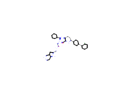 O=C(Cn1c(-c2ccccc2)nc2c(c1=O)NC(c1ccc(-c3ccccc3F)cc1)CC2)NCc1cc2cnccc2[nH]1